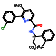 COc1ccc(C(=O)N[C@@H](CC(=O)O)c2ccccc2C)nc1-c1cccc(Cl)c1